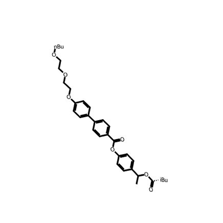 CCCCOCCOCCOc1ccc(-c2ccc(C(=O)Oc3ccc(C(C)OC(=O)[C@@H](C)CC)cc3)cc2)cc1